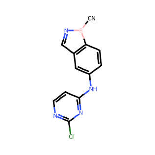 N#CB1N=Cc2cc(Nc3ccnc(Cl)n3)ccc21